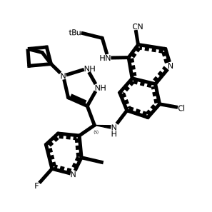 Cc1nc(F)ccc1[C@H](Nc1cc(Cl)c2ncc(C#N)c(NCC(C)(C)C)c2c1)C1=CN(C23CC(C2)C3)NN1